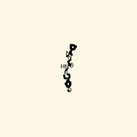 COc1ccc(N2CCN(CCNC(=O)CCn3cnc(-c4ccccc4)c3)CC2)cc1